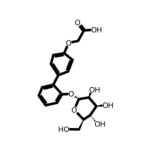 O=C(O)COc1ccc(-c2ccccc2O[C@H]2O[C@H](CO)[C@@H](O)[C@H](O)[C@@H]2O)cc1